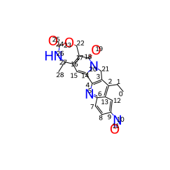 CCc1c2c(nc3ccc(N=O)cc13)-c1cc3c(c(=O)n1C2)COC(=O)NC3C